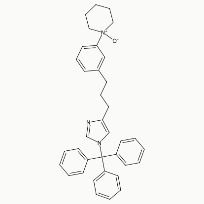 [O-][N+]1(c2cccc(CCCc3cn(C(c4ccccc4)(c4ccccc4)c4ccccc4)cn3)c2)CCCCC1